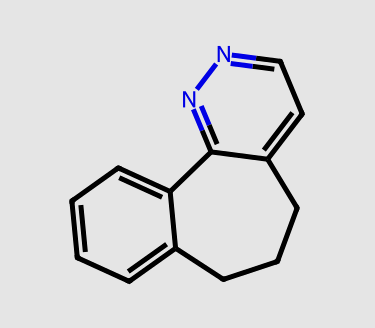 c1ccc2c(c1)CCCc1ccnnc1-2